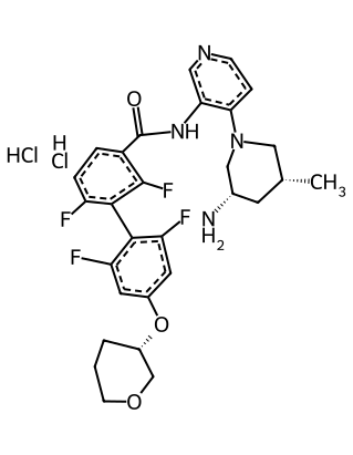 C[C@@H]1C[C@H](N)CN(c2ccncc2NC(=O)c2ccc(F)c(-c3c(F)cc(O[C@H]4CCCOC4)cc3F)c2F)C1.Cl.Cl